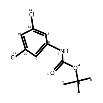 CC(C)(C)OC(=O)Nc1cc(Cl)cc(Cl)c1